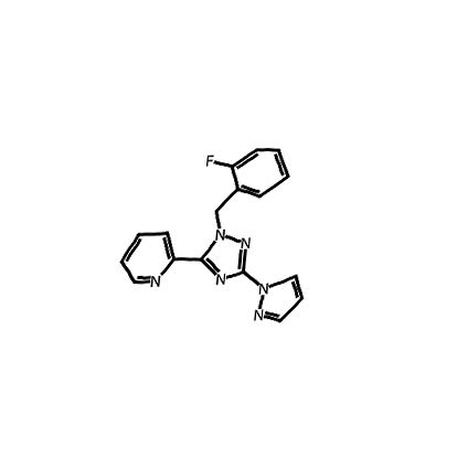 Fc1ccccc1Cn1nc(-n2cccn2)nc1-c1ccccn1